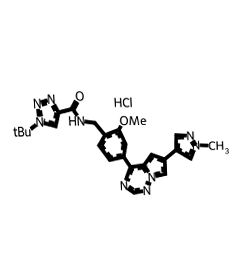 COc1cc(-c2ncnn3cc(-c4cnn(C)c4)cc23)ccc1CNC(=O)c1cn(C(C)(C)C)nn1.Cl